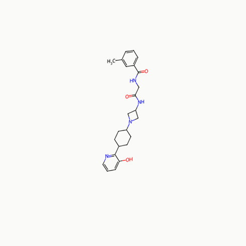 Cc1cccc(C(=O)NCC(=O)NC2CN(C3CCC(c4ncccc4O)CC3)C2)c1